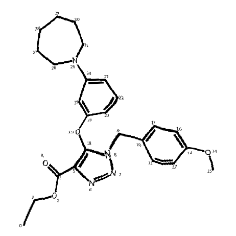 CCOC(=O)c1nnn(Cc2ccc(OC)cc2)c1Oc1cccc(N2CCCCCC2)c1